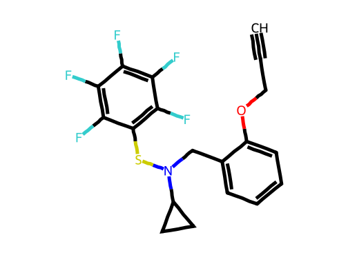 C#CCOc1ccccc1CN(Sc1c(F)c(F)c(F)c(F)c1F)C1CC1